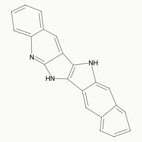 c1ccc2cc3c(cc2c1)[nH]c1c2cc4ccccc4nc2[nH]c31